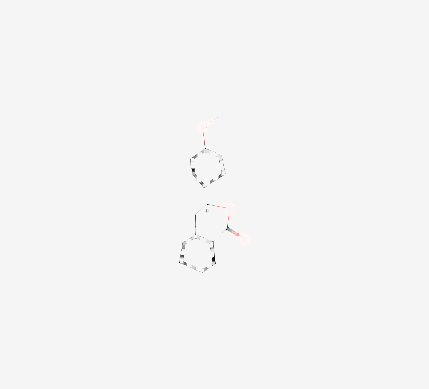 COc1ccc([C@H]2Cc3ccccc3C(=O)O2)cc1